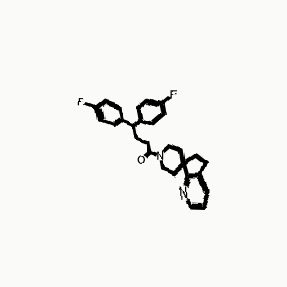 O=C(CCC(c1ccc(F)cc1)c1ccc(F)cc1)N1CCC2(CCc3cccnc32)CC1